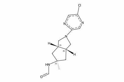 C[C@@]1(NC=O)C[C@H]2CN(c3cnc(Cl)cn3)C[C@H]2C1